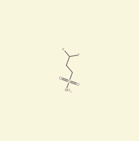 NS(=O)(=O)CCC(F)F